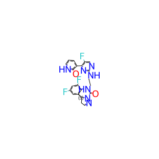 O=C(NCCNc1ncc(F)c(-c2ccc[nH]c2=O)n1)N1N=CC[C@H]1c1cc(F)cc(F)c1